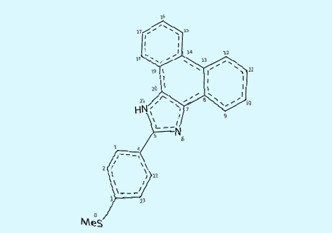 CSc1ccc(-c2nc3c4ccccc4c4ccccc4c3[nH]2)cc1